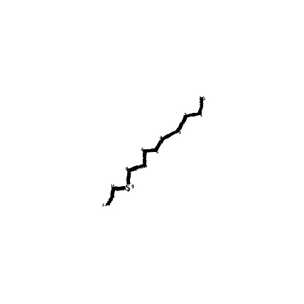 CCCCCCCC[CH]SCC